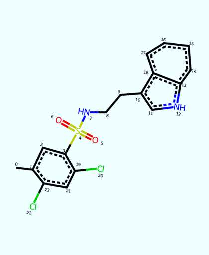 Cc1cc(S(=O)(=O)NCCc2c[nH]c3ccccc23)c(Cl)cc1Cl